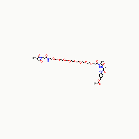 CC(C)C(=O)OCc1ccc(NC(=O)[C@H](C)NC(=O)[C@@H](NC(=O)CCOCCOCCOCCOCCOCCOCCOCCOCCNC(=O)CCN2C(=O)CC(C(C)C)C2=O)C(C)C)cc1